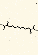 O=C(O)C(Br)CCCCCCCCC(Br)C(=O)O